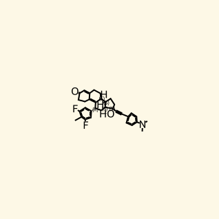 Cc1c(F)cc([C@H]2C[C@@]3(C)[C@@H](CC[C@@]3(O)C#Cc3ccc(N(C)C)cc3)[C@@H]3CCC4=CC(=O)CCC4=C32)cc1F